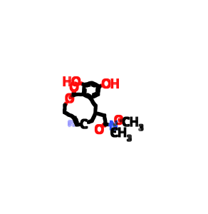 CON(C)C(=O)CC1CC/C=C/CCOC(=O)c2c(O)cc(O)cc2C1